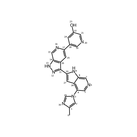 Cc1cn(-c2cncc3[nH]c(-c4n[nH]c5cnc(-c6cncc(O)c6)cc45)cc23)cn1